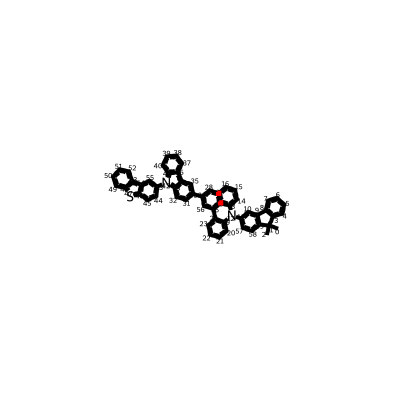 CC1(C)c2ccccc2-c2cc(N(c3ccccc3)c3ccccc3-c3cccc(-c4ccc5c(c4)c4ccccc4n5-c4ccc5sc6ccccc6c5c4)c3)ccc21